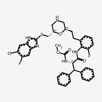 COC(=O)N[C@H](C(=O)Nc1c(F)cccc1CC[C@@H]1CNC[C@@H](CSc2nc3cc(F)c(Cl)cc3[nH]2)O1)C(c1ccccc1)c1ccccc1